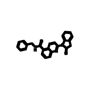 O=C(NCc1ccccc1)c1cccc2nc(N3C(=O)Cc4ccccc43)ccc12